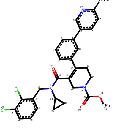 COc1ccc(-c2cccc(C3=C(C(=O)N(Cc4cccc(Cl)c4Cl)C4CC4)CN(C(=O)OC(C)(C)C)CC3)c2)cn1